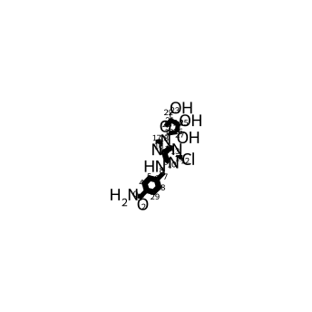 NC(=O)c1ccc(CNc2nc(Cl)nc3c2ncn3[C@@H]2O[C@H](CO)C(O)C2O)cc1